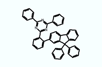 c1ccc(-c2nc(-c3ccccc3)nc(-c3ccccc3-c3ccc4c(c3)C(c3ccccc3)(c3ccccc3)c3ccccc3-4)n2)cc1